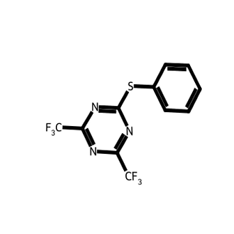 FC(F)(F)c1nc(Sc2ccccc2)nc(C(F)(F)F)n1